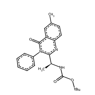 Cc1ccc2nc([C@H](C)NC(=O)OC(C)(C)C)n(-c3ccccc3)c(=O)c2c1